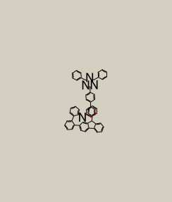 c1ccc(-c2nc(-c3ccccc3)nc(-c3ccc(-c4cccc(N5c6ccccc6-c6ccccc6-c6ccc7c(c65)C(c5ccccc5)c5ccccc5-7)c4)cc3)n2)cc1